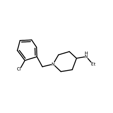 CCNC1CCN(Cc2ccccc2Cl)CC1